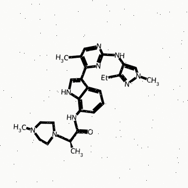 CCc1nn(C)cc1Nc1ncc(C)c(-c2c[nH]c3c(NC(=O)[C@@H](C)N4CCN(C)CC4)cccc23)n1